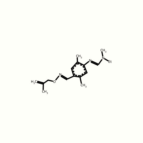 C=C(C)CON=Cc1cc(C)c(N=CN(C)CC)cc1C